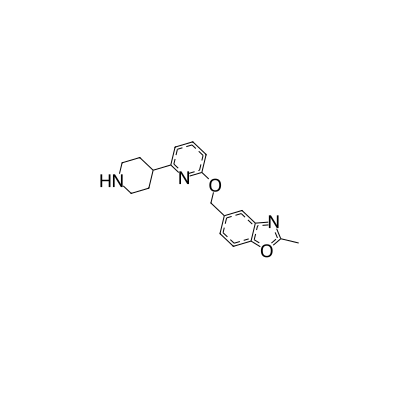 Cc1nc2cc(COc3cccc(C4CCNCC4)n3)ccc2o1